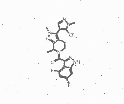 CC1c2nn(C)c(-c3cnn(C)c3C(F)(F)F)c2CCN1C(=O)c1n[nH]c2cc(F)cc(F)c12